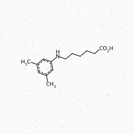 Cc1cc(C)cc(NCCCCCC(=O)O)c1